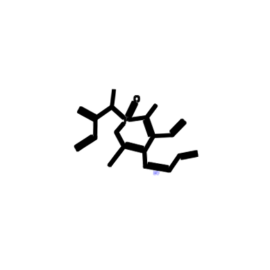 C=C/C=C\C1=C(C)CP(=O)(C(C)C(=C)C=C)C(C)=C1C=C